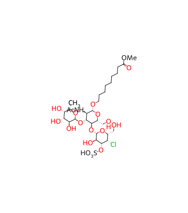 COC(=O)CCCCCCCCO[C@@H]1O[C@H](CO)[C@@H](O[C@@H]2O[C@H](CO)[C@H](Cl)[C@H](OS(=O)(=O)O)[C@H]2O)[C@H](O[C@@H]2O[C@@H](C)[C@@H](O)[C@@H](O)[C@@H]2O)[C@H]1NC(C)=O